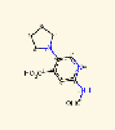 O=CNc1cc(C(=O)O)c(N2CCCC2)cn1